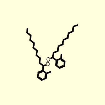 CCCCCCCCCCC(OOC(CCCCCCCCCC)c1ccccc1C)c1ccccc1C